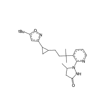 CC1CC(=O)NN1c1ncccc1C(C)(C)CCC1CC1c1cc(C(C)(C)C)on1